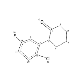 O=C1CCCCC1c1cc(F)ccc1Cl